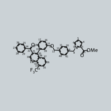 COC(=O)c1cccn1Cc1ccc(COc2cccc(-c3c(C(=O)c4ccccc4)cnc4c(C(F)(F)F)cccc34)c2)cc1